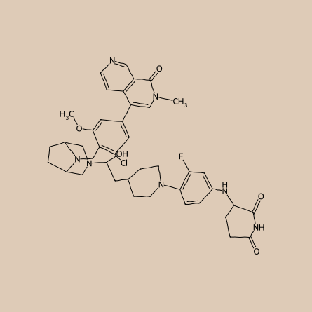 COc1cc(-c2cn(C)c(=O)c3cnccc23)cc(Cl)c1CN1C2CCC1CN(C(O)CC1CCN(c3ccc(NC4CCC(=O)NC4=O)cc3F)CC1)C2